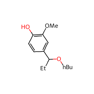 CCCCOC(CC)c1ccc(O)c(OC)c1